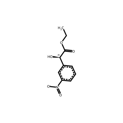 CCOC(=O)[C@H](O)c1cccc([N+](=O)[O-])c1